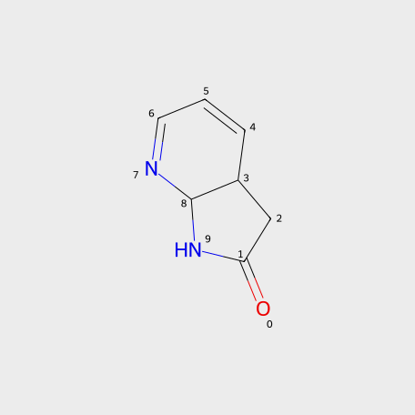 O=C1CC2C=CC=NC2N1